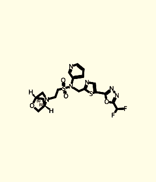 O=S(=O)(CCN1C[C@@H]2C[C@H]1CO2)N(Cc1ncc(-c2nnc(C(F)F)o2)s1)c1cccnc1